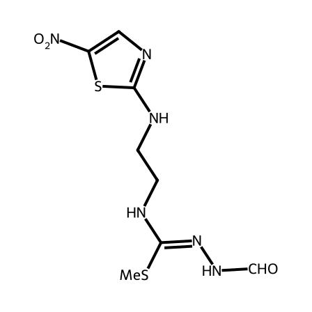 CSC(=NNC=O)NCCNc1ncc([N+](=O)[O-])s1